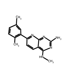 CNc1nc(N)nc2nc(-c3cc(C)ccc3C)ccc12